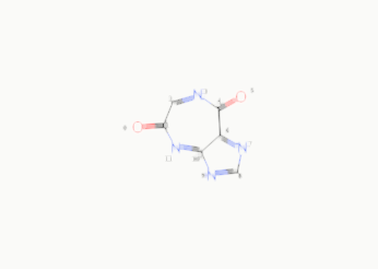 O=C1C=NC(=O)C2=NC=NC2=N1